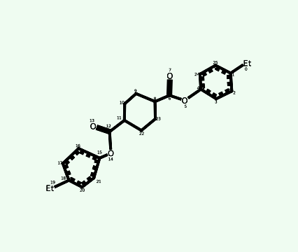 CCc1ccc(OC(=O)C2CCC(C(=O)Oc3ccc(CC)cc3)CC2)cc1